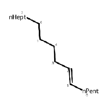 CCCCC/C=C/CCCCCCCCCCC